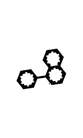 [c]1ccc2ccccc2c1-c1ccccc1